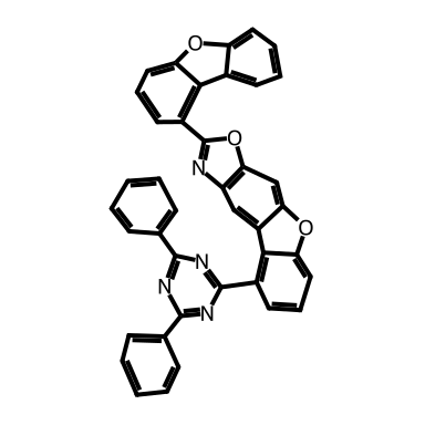 c1ccc(-c2nc(-c3ccccc3)nc(-c3cccc4oc5cc6oc(-c7cccc8oc9ccccc9c78)nc6cc5c34)n2)cc1